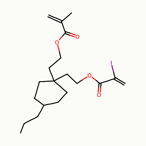 C=C(C)C(=O)OCCC1(CCOC(=O)C(=C)I)CCC(CCC)CC1